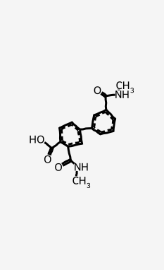 CNC(=O)c1cccc(-c2ccc(C(=O)O)c(C(=O)NC)c2)c1